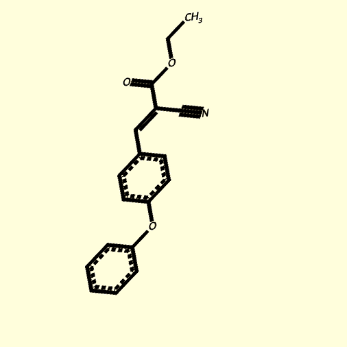 CCOC(=O)/C(C#N)=C/c1ccc(Oc2ccccc2)cc1